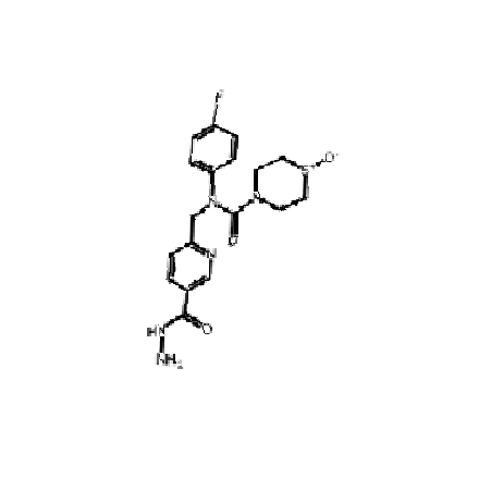 NNC(=O)c1ccc(CN(C(=O)N2CC[S+]([O-])CC2)c2ccc(F)cc2)nc1